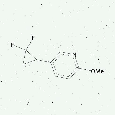 COc1ccc(C2CC2(F)F)cn1